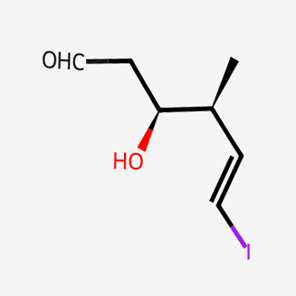 C[C@@H](/C=C/I)[C@@H](O)CC=O